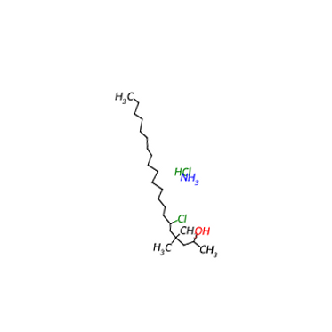 CCCCCCCCCCCCCCCC(Cl)CC(C)(C)CC(C)O.Cl.N